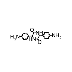 Nc1ccc(C2NC(=O)C(c3ccc(N)cc3)NC2=O)cc1